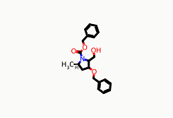 C[C@@H]1CC(OCc2ccccc2)C(CO)N1C(=O)OCc1ccccc1